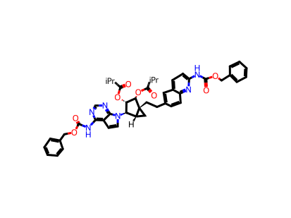 CC(C)C(=O)O[C@H]1[C@H](n2ccc3c(NC(=O)OCc4ccccc4)ncnc32)[C@H]2C[C@@]2(CCc2ccc3nc(NC(=O)OCc4ccccc4)ccc3c2)[C@H]1OC(=O)C(C)C